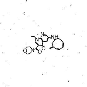 C=C1/C=C\C=C/CCC(Nc2cnc3c(c2)c(=O)c(C(=O)N2CCOCC2)cn3CC)C1